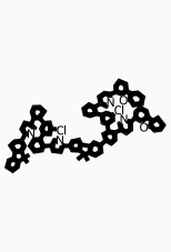 CC1(C)c2ccccc2-c2ccc(-c3ccc(-c4ccccc4-c4cc(Cl)cc(-c5ccccc5-c5ccc(-c6ccc7c(c6)C(C)(C)c6ccc(-c8ccc(-c9ccc(-c%10cccc%11c%10oc%10ccccc%10%11)nc9)c(-c9cc(Cl)cc(-c%10ccccc%10-c%10ccc(-c%11cccc%12c%11oc%11ccccc%11%12)nc%10)c9)c8)cc6-7)nc5)c4)cn3)cc21